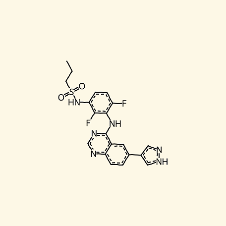 CCCS(=O)(=O)Nc1ccc(F)c(Nc2ncnc3ccc(-c4cn[nH]c4)cc23)c1F